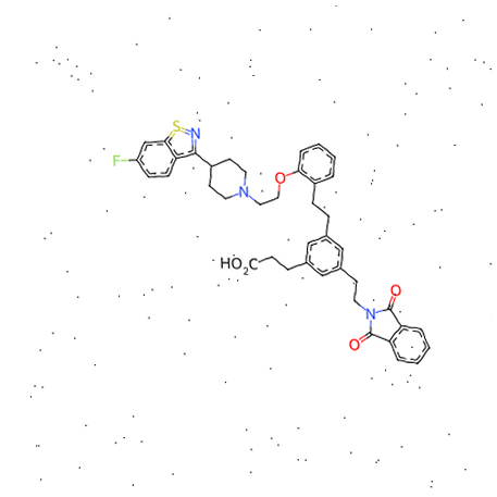 O=C(O)CCc1cc(CCc2ccccc2OCCN2CCC(c3nsc4cc(F)ccc34)CC2)cc(CCN2C(=O)c3ccccc3C2=O)c1